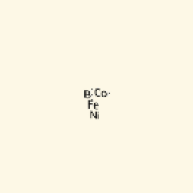 [B].[Co].[Fe].[Ni]